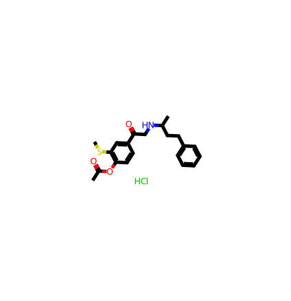 CSc1cc(C(=O)CNC(C)CCc2ccccc2)ccc1OC(C)=O.Cl